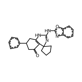 O=C1CC(c2ccccc2)CC2=C1C1(CCCC1)N=C(Nc1nc3ccccc3o1)N2